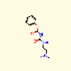 CN(C)CCNC(=O)NC(=O)Oc1ccccc1